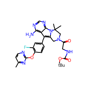 Cc1ccnc(Oc2ccc(-c3c4n(c5ncnc(N)c35)C(C)(C)CN(C(=O)CNC(=O)OC(C)(C)C)C4)cc2F)n1